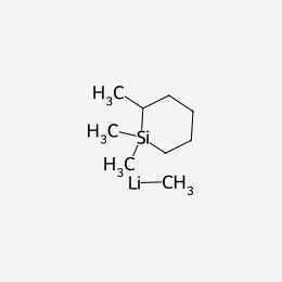 CC1CCCC[Si]1(C)C.[Li][CH3]